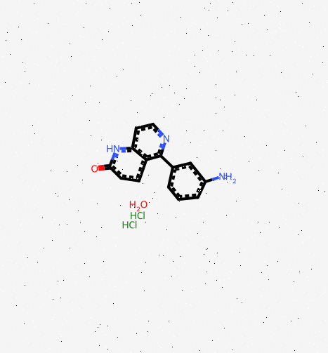 Cl.Cl.Nc1cccc(-c2nccc3[nH]c(=O)ccc23)c1.O